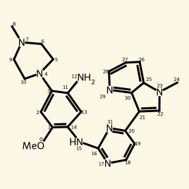 COc1cc(N2CCN(C)CC2)c(N)cc1Nc1nccc(-c2cn(C)c3cccnc23)n1